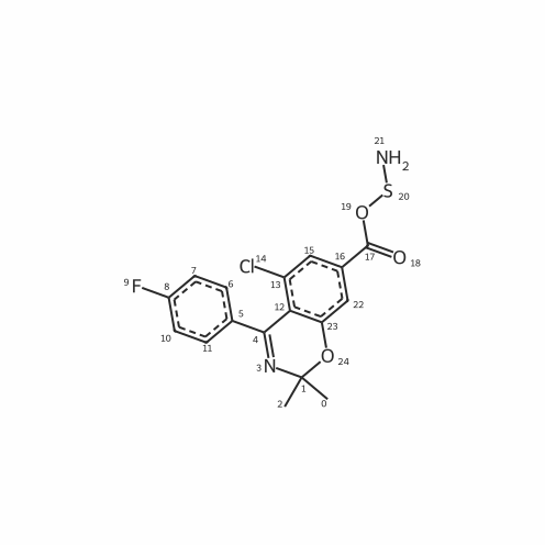 CC1(C)N=C(c2ccc(F)cc2)c2c(Cl)cc(C(=O)OSN)cc2O1